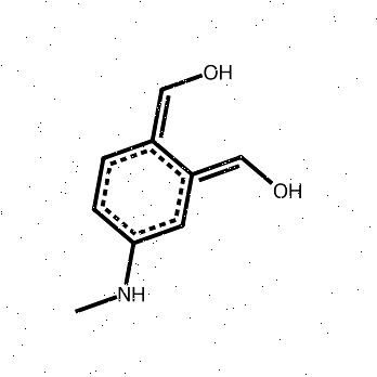 CNc1ccc(=CO)c(=CO)c1